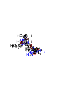 Cc1c(/N=c2\ccc3c(-c4ccccc4S(=O)(=O)O)c4ccc(Nc5c(C)c(NC(N)=O)c(C)c(NC(N)=O)c5C)cc4oc-3c2)c(C)c(NC(=O)N(CC(=O)O)CC(=O)O)c(C)c1NC(=O)N(CC(=O)O)CC(=O)O